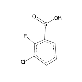 O=S(O)c1cccc(Cl)c1F